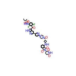 CCC(C)S(=O)(=O)Nc1ccc(F)c(C(=O)c2c[nH]c3ncc(-c4ccc(N5CCN(C(=O)[C@H]6C[C@H](Nc7cccc8c7C(=O)N(C7CCC(=O)NC7=O)C8=O)C6)CC5)nc4)cc23)c1F